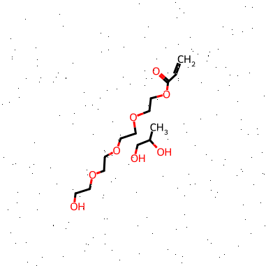 C=CC(=O)OCCOCCOCCOCCO.CC(O)CO